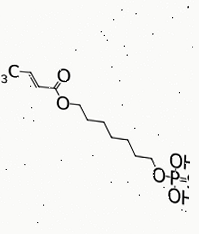 CC=CC(=O)OCCCCCCCOP(O)(O)=S